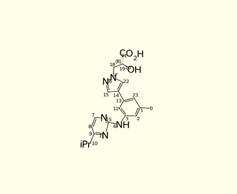 Cc1cc(Nc2nccc(C(C)C)n2)cc(-c2cnn(C[C@@H](O)C(=O)O)c2)c1